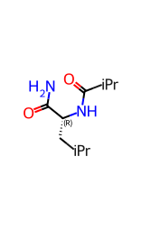 CC(C)C[C@@H](NC(=O)C(C)C)C(N)=O